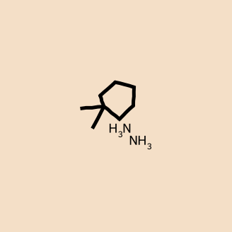 CC1(C)CCCCC1.N.N